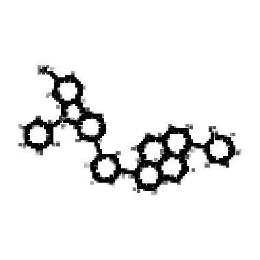 N#Cc1ccc2c3ccc(-c4cccc(-c5ccc6ccc7c(-c8ccccn8)ccc8ccc5c6c87)c4)cc3n(-c3ccccc3)c2c1